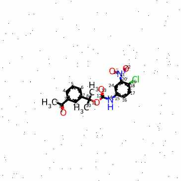 CC(=O)c1cccc(C(C)(C)OC(=O)Nc2ccc(Cl)c([N+](=O)[O-])c2)c1